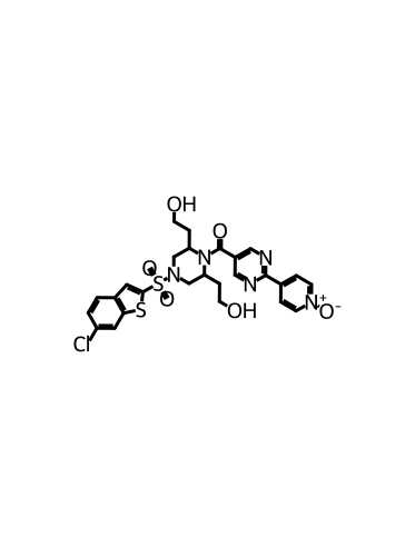 O=C(c1cnc(-c2cc[n+]([O-])cc2)nc1)N1C(CCO)CN(S(=O)(=O)c2cc3ccc(Cl)cc3s2)CC1CCO